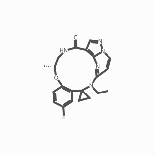 CCN1c2ccn3ncc(c3n2)C(=O)NC[C@@H](C)Oc2ccc(F)cc2C12CC2